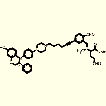 CNC(=O)C(CCC=O)N(C)Cc1cc(C#CCCCCN2CCN(c3ccc([C@@H]4c5ccc(O)cc5OC[C@@H]4c4ccccc4)cc3)CC2)ccc1C=O